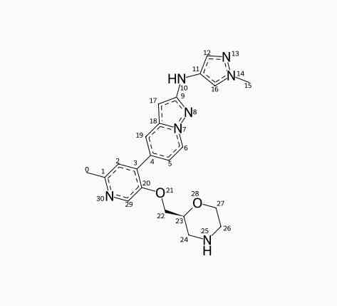 Cc1cc(-c2ccn3nc(Nc4cnn(C)c4)cc3c2)c(OC[C@@H]2CNCCO2)cn1